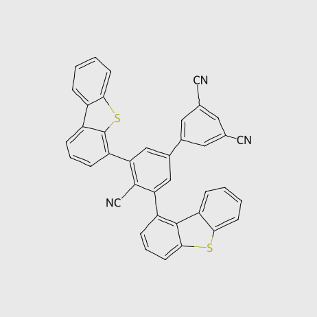 N#Cc1cc(C#N)cc(-c2cc(-c3cccc4c3sc3ccccc34)c(C#N)c(-c3cccc4sc5ccccc5c34)c2)c1